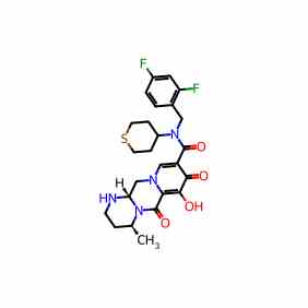 C[C@H]1CCN[C@@H]2Cn3cc(C(=O)N(Cc4ccc(F)cc4F)C4CCSCC4)c(=O)c(O)c3C(=O)N12